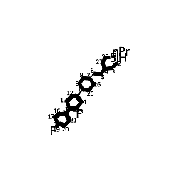 CCC[SiH]1CCC(CC[C@H]2CC[C@H](c3ccc(-c4ccc(F)cc4)c(F)c3)CC2)CC1